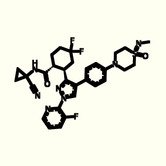 CN=S1(=O)CCN(c2ccc(-c3cn(-c4ncccc4F)nc3[C@@H]3CC(F)(F)CC[C@H]3C(=O)NC3(C#N)CC3)cc2)CC1